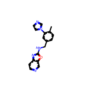 Cc1ccc(CNc2nc3ccncc3o2)cc1-n1ccnc1